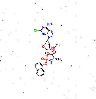 C[C@H](NP(=O)(OC[C@H]1OC2C(C1O)[C@@H]2n1cnc2c(N)nc(Cl)nc21)Oc1cccc2ccccc12)C(=O)OCC(C)(C)C